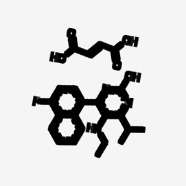 CCNc1c(-c2ccc(F)c3ccccc23)nc(O)nc1C(C)C.O=C(O)C=CC(=O)O